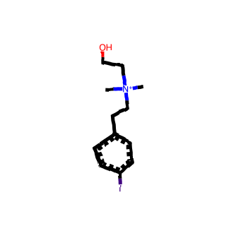 C[N+](C)(CCO)CCc1ccc(I)cc1